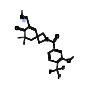 C/N=C/C1=CC2(CN(C(=O)c3ccc(C(F)(F)F)c(OC)c3)C2)CC(C)(C)C1=O